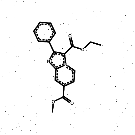 CCOC(=O)c1c(-c2ccccc2)nc2cc(C(=O)OC)ccn12